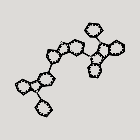 c1ccc(-n2c3ccccc3c3cc(-c4ccc5oc6ccc(-n7c8ccccc8c8c9ccccc9n(-c9ccccc9)c87)cc6c5c4)ccc32)cc1